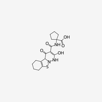 O=C(NC1(C(=O)O)CCCC1)C1=C(O)NN2SC3=C(CCCC3)C2C1=O